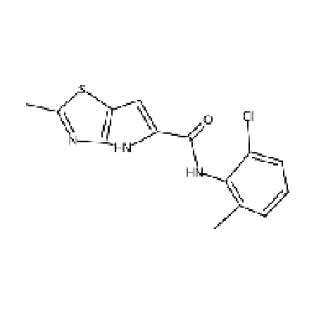 Cc1nc2[nH]c(C(=O)Nc3c(C)cccc3Cl)cc2s1